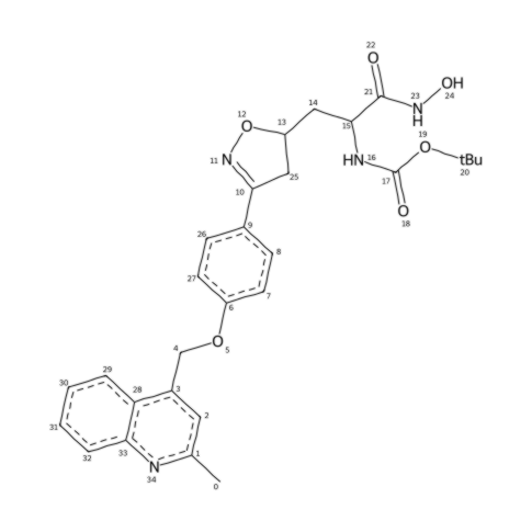 Cc1cc(COc2ccc(C3=NOC(CC(NC(=O)OC(C)(C)C)C(=O)NO)C3)cc2)c2ccccc2n1